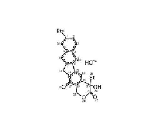 CCc1ccc2nc3c(cc2c1)Cn1c-3cc2c(c1=O)COC(=O)C2(O)CC.Cl